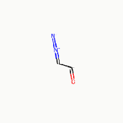 [N-]=[N+]=C[C]=O